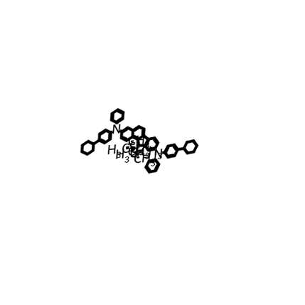 C[Si](C)(C)C1([Si](C)(C)C)c2cc(N(c3ccccc3)c3ccc(C4CCCCC4)cc3)ccc2-c2ccc3cc(N(c4ccccc4)c4ccc(C5CCCCC5)cc4)ccc3c21